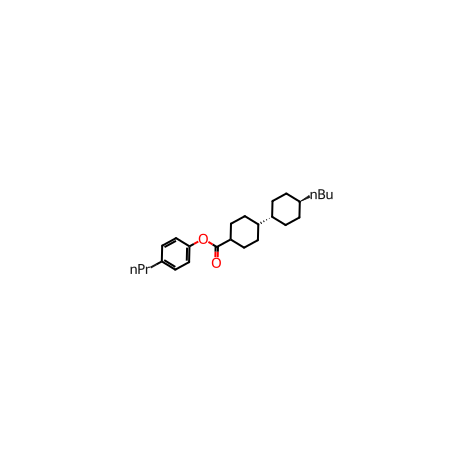 CCCC[C@H]1CC[C@H](C2CCC(C(=O)Oc3ccc(CCC)cc3)CC2)CC1